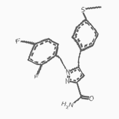 CSc1ccc(-c2cc(C(N)=O)nn2-c2ccc(F)cc2F)cc1